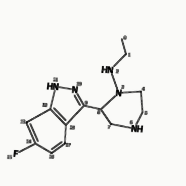 CCNN1CCNCC1c1n[nH]c2cc(F)ccc12